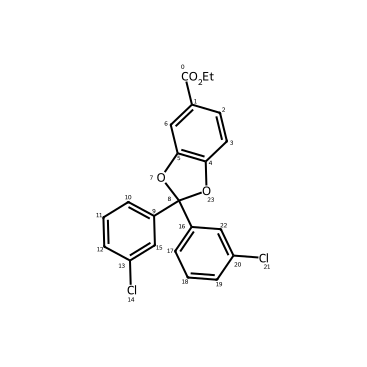 CCOC(=O)c1ccc2c(c1)OC(c1cccc(Cl)c1)(c1cccc(Cl)c1)O2